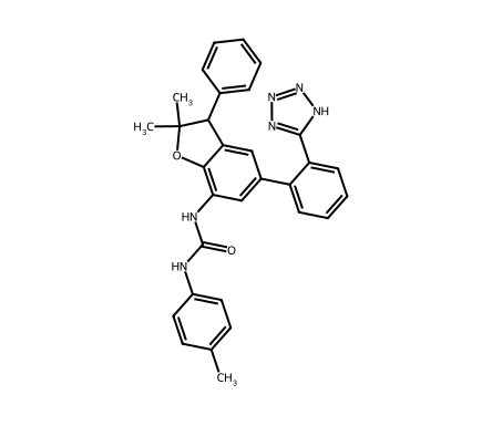 Cc1ccc(NC(=O)Nc2cc(-c3ccccc3-c3nnn[nH]3)cc3c2OC(C)(C)C3c2ccccc2)cc1